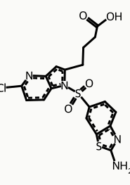 Nc1nc2ccc(S(=O)(=O)n3c(CCCC(=O)O)cc4nc(Cl)ccc43)cc2s1